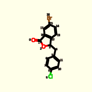 O=C1OC(Cc2ccc(Cl)cc2)c2ccc(Br)cc21